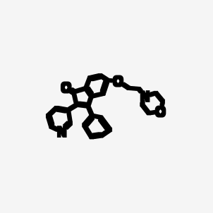 O=C1C(c2cccnc2)=C(c2ccccc2)c2cc(OCCN3CCOCC3)ccc21